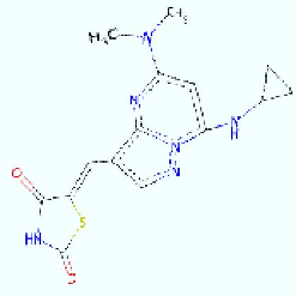 CN(C)c1cc(NC2CC2)n2ncc(C=C3SC(=O)NC3=O)c2n1